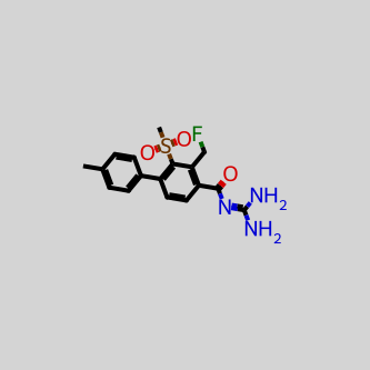 Cc1ccc(-c2ccc(C(=O)N=C(N)N)c(CF)c2S(C)(=O)=O)cc1